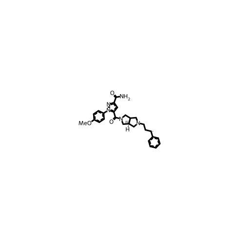 COc1ccc(-n2nc(C(N)=O)cc2C(=O)N2CC3CN(CC[CH]c4ccccc4)C[C@H]3C2)cc1